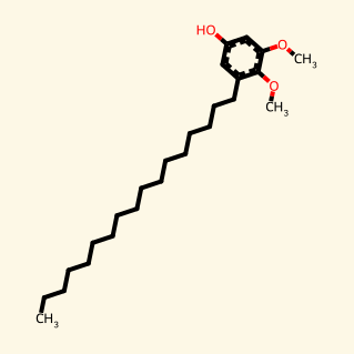 CCCCCCCCCCCCCCCCCc1cc(O)cc(OC)c1OC